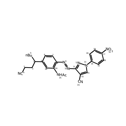 CCCCC(CCC#N)c1ccc(N=Nc2nn(-c3ccc([N+](=O)[O-])cc3)cc2C#N)c(NC(C)=O)c1